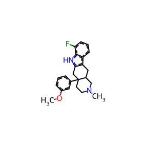 COc1cccc(C23CCN(C)CC2Cc2c([nH]c4c(F)cccc24)C3)c1